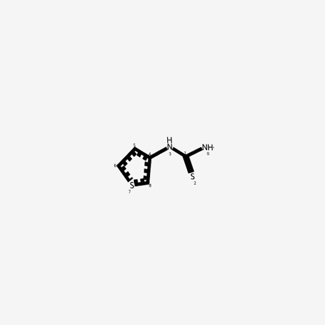 [NH]C(=S)Nc1ccsc1